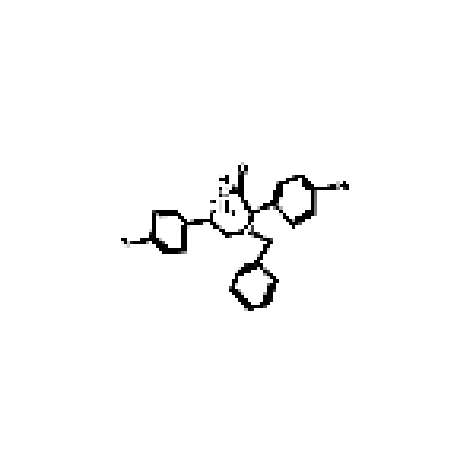 CC(=O)C(c1ccc(Br)cc1)N(Cc1ccccc1)CC(C)c1ccc(Br)cc1